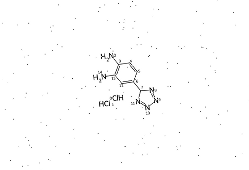 Cl.Cl.Nc1ccc(C2N=NN=N2)cc1N